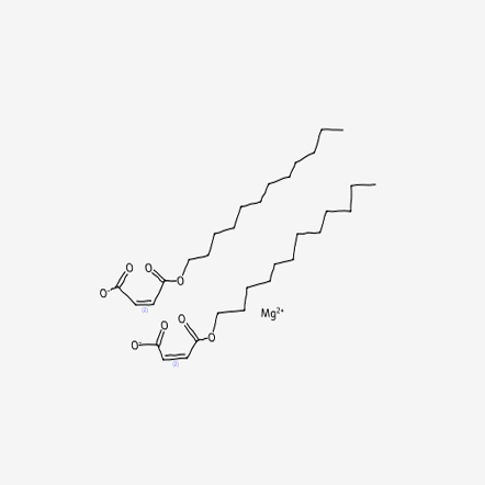 CCCCCCCCCCCCOC(=O)/C=C\C(=O)[O-].CCCCCCCCCCCCOC(=O)/C=C\C(=O)[O-].[Mg+2]